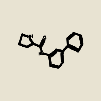 O=C(Nc1cccc(-c2ccccc2)c1)C1CCCN1